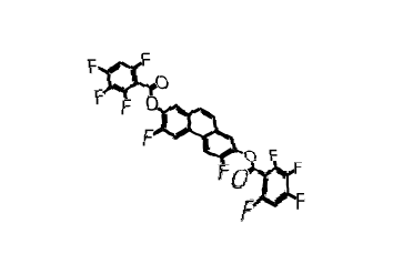 O=C(Oc1cc2ccc3cc(OC(=O)c4c(F)cc(F)c(F)c4F)c(F)cc3c2cc1F)c1c(F)cc(F)c(F)c1F